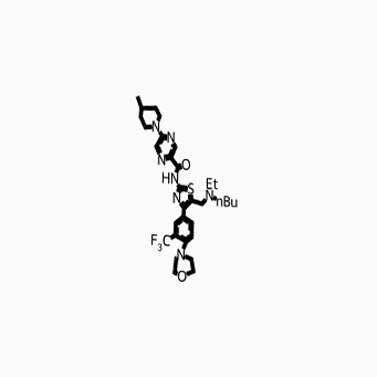 CCCCN(CC)Cc1sc(NC(=O)c2cnc(N3CCC(C)CC3)cn2)nc1-c1ccc(N2CCOCC2)c(C(F)(F)F)c1